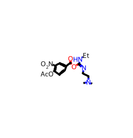 CCN/C(=N/CCN(C)C)OC(=O)c1ccc(OC(C)=O)c([N+](=O)[O-])c1